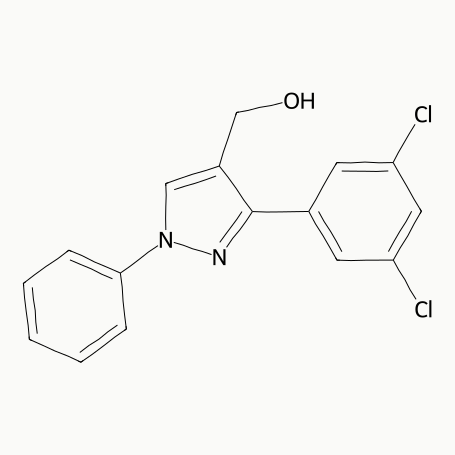 OCc1cn(-c2ccccc2)nc1-c1cc(Cl)cc(Cl)c1